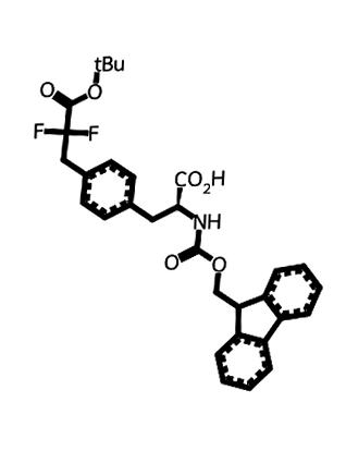 CC(C)(C)OC(=O)C(F)(F)Cc1ccc(C[C@H](NC(=O)OCC2c3ccccc3-c3ccccc32)C(=O)O)cc1